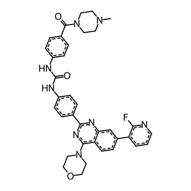 CN1CCN(C(=O)c2ccc(NC(=O)Nc3ccc(-c4nc(N5CCOCC5)c5ccc(-c6cccnc6F)cc5n4)cc3)cc2)CC1